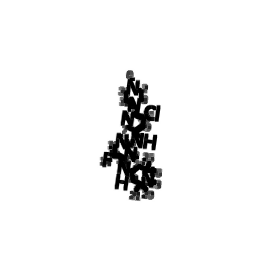 CN1CCN(c2ncc(Nc3ncc(F)c(NC4CC(C)(C)N(C)C(C)(C)C4)n3)cc2Cl)CC1